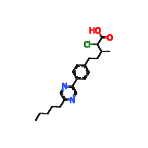 CCCCCc1cnc(-c2ccc(CCC(C)C(Cl)C(=O)O)cc2)cn1